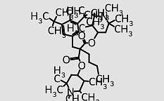 CCCCC(Cc1cc(C(C)(C)C)c(O)c(C(C)(C)C)c1)(C(=O)OC1CC(C)(C)N(C)C(C)C1C)C(=O)OC1CC(C)(C)N(C)C(C)C1C